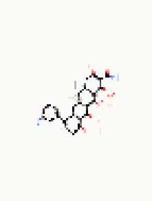 NC(=O)C1=C(O)C[C@@H]2C[C@@H]3Cc4c(-c5cccc(N)c5)ccc(O)c4C(=O)C3=C(O)[C@]2(O)C1=O